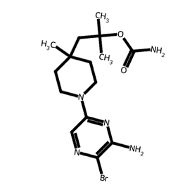 CC1(CC(C)(C)OC(N)=O)CCN(c2cnc(Br)c(N)n2)CC1